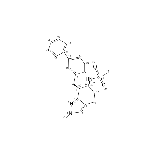 Cn1cc2c(n1)[C@@H](Cc1cccc(-c3ccccc3)c1)[C@@H](NS(C)(=O)=O)CC2